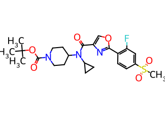 CC(C)(C)OC(=O)N1CCC(N(C(=O)c2coc(-c3ccc(S(C)(=O)=O)cc3F)n2)C2CC2)CC1